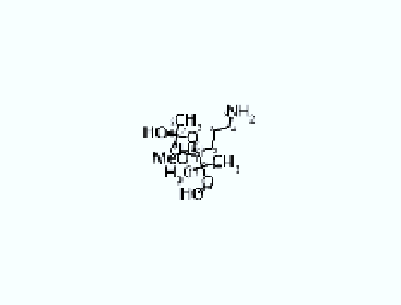 CO[Si](CCCN)(OC(C)(C)O)C(C)(C)OO